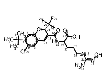 CC(C)(C)c1cc2c(cc1Cl)C=C(C(=O)NC(CCCN/C(N)=N\O)C(=O)O)[C@@H](C(F)(F)F)O2